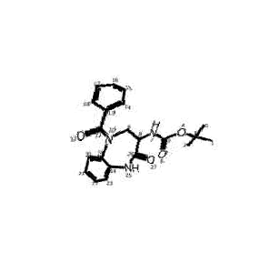 CC(C)(C)OC(=O)NC1CN(C(=O)c2ccccc2)c2ccccc2NC1=O